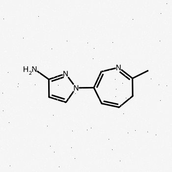 CC1=NC=C(n2ccc(N)n2)C=CC1